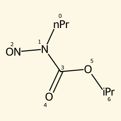 CCCN(N=O)C(=O)OC(C)C